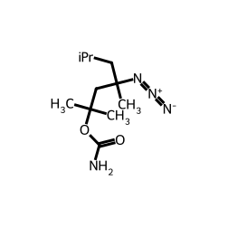 CC(C)CC(C)(CC(C)(C)OC(N)=O)N=[N+]=[N-]